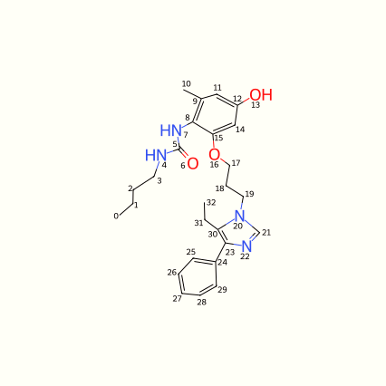 CCCCNC(=O)Nc1c(C)cc(O)cc1OCCCn1cnc(-c2ccccc2)c1CC